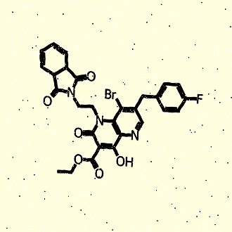 CCOC(=O)c1c(O)c2ncc(Cc3ccc(F)cc3)c(Br)c2n(CCN2C(=O)C3C=CC=CC3C2=O)c1=O